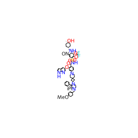 COC1=CC=C(CN2CCN(C3CC4(CCN(c5ccc(C(=O)NS(=O)(=O)C6=C7OC(F)(F)OC7C(NC[C@H]7CC[C@](C)(O)CC7)C(N=O)=C6)c(Oc6cnc7[nH]ccc7c6)c5)CC4)C3)[C@H](c3ccccc3C(C)C)C2)CC1